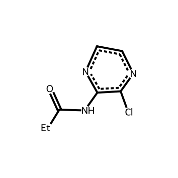 CCC(=O)Nc1nccnc1Cl